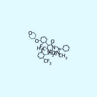 Cc1c(-c2cccc(OC3CCOCC3)c2F)c(=O)n(C[C@@H](c2ccccc2)N(C)C)c(=O)n1Cc1c(F)cccc1C(F)(F)F